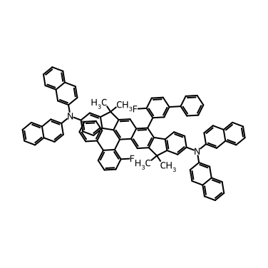 CC1(C)c2cc(N(c3ccc4ccccc4c3)c3ccc4ccccc4c3)ccc2-c2c1cc1c(-c3c(F)cccc3-c3ccccc3)c3c(cc1c2-c1cc(-c2ccccc2)ccc1F)C(C)(C)c1cc(N(c2ccc4ccccc4c2)c2ccc4ccccc4c2)ccc1-3